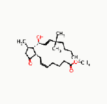 CCCCC(C)(C)/C=C/[C@H](O)[C@H]1[C@H](C)CC(=O)[C@@H]1C/C=C\CCCC(=O)OC